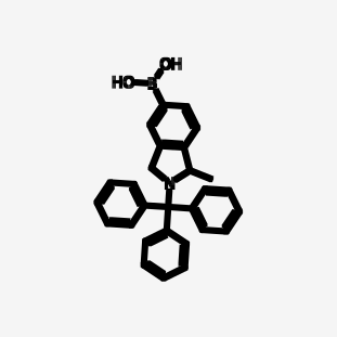 CC1c2ccc(B(O)O)cc2CN1C(c1ccccc1)(c1ccccc1)c1ccccc1